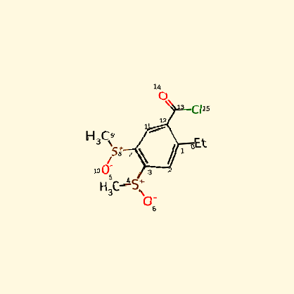 CCc1cc([S+](C)[O-])c([S+](C)[O-])cc1C(=O)Cl